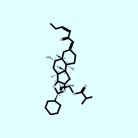 CC/C=C\C(=O)/C=C1/CC[C@@H]2[C@@H](C1)[C@@H](O)C[C@@]1(C)[C@H]2C[C@H]2O[C@@H](C3CCCCC3)O[C@]21C(=O)COC(=O)C(C)C